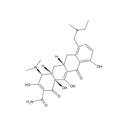 CCN(C)Cc1ccc(O)c2c1C[C@H]1C[C@H]3[C@H](N(C)C)C(O)=C(C(N)=O)C(=O)[C@@]3(O)C(O)=C1C2=O